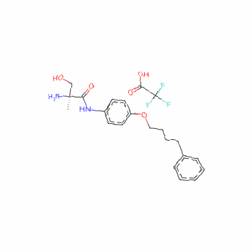 C[C@](N)(CO)C(=O)Nc1ccc(OCCCCc2ccccc2)cc1.O=C(O)C(F)(F)F